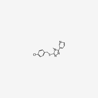 Cn1c(SCc2ccc(Cl)cc2)nnc1-c1cccnc1